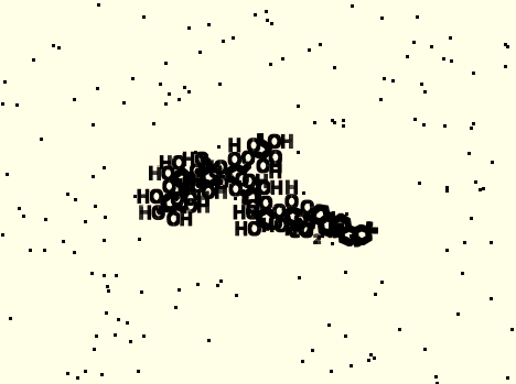 CC1OC(OCC2OC(OC3COC(OC4C(OC5C(O)C(OC6CCC7(C)C(CCC8(C)C7C=CC7C9CC(C)(C)CCC9(C)C=CC78C)C6(C)CO)OC(C(=O)O)C5O)OCC(O)C4O)C(O)C3O)C(OC3OC(CO)C(OC4OC(CO)C(OC5OC(CO)C(O)C(O)C5O)C(O)C4O)C(O)C3O)C(O)C2O)C(O)C(O)C1O